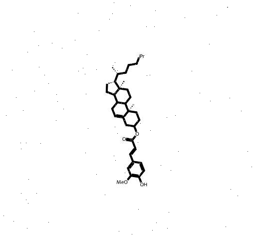 COc1cc(C=CC(=O)OC2CC[C@@]3(C)C(=CCC4C3CC[C@@]3(C)C4CC[C@@H]3[C@H](C)CCCC(C)C)C2)ccc1O